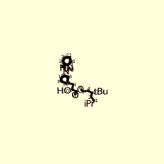 CC(C)CCC(CCOC(=O)C(O)Cc1cccc(-n2nc3ccccc3n2)c1)C(C)(C)C